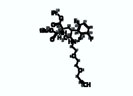 C#CCOCCOCCNC(C)C(CC(NC(=O)OC(C)(C)C)C(=O)OC(C)C)c1c(F)ccc(F)c1F